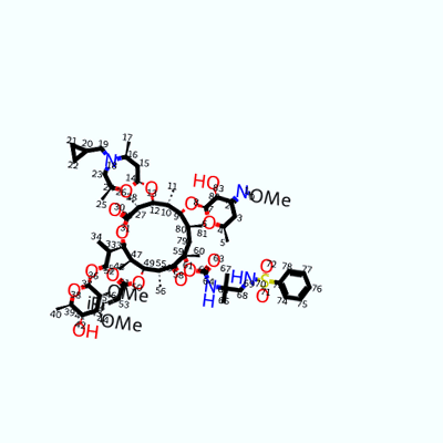 CON=C1C[C@@H](C)O[C@@H](O[C@@H]2[C@@H](C)[C@H](O[C@H]3C[C@H](C)N(CC4CC4)C[C@H](C)O3)[C@@H](C)C(=O)O[C@H](C(C)CO[C@@H]3O[C@H](C)[C@@H](O)[C@@H](OC)[C@H]3OC)[C@H](C)[C@@H](OC(=O)CC(C)C)[C@@H](C)C(=O)[C@@](C)(OC(=O)NC(C)(C)CNS(=O)(=O)c3ccccc3)C[C@@H]2C)[C@@H]1O